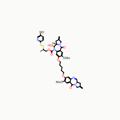 C=C1CC2C=Nc3cc(OCCCCCOc4cc5c(cc4OC)C(=O)N4CC(=C)C[C@H]4[C@H](O)N5C(=O)OC[C@@H](C)SSc4ccc(N=O)cn4)c(OC)cc3C(=O)N2C1